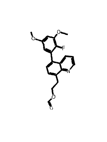 COc1cc(OC)c(F)c(-c2ccc(CCOC=O)c3ncccc23)c1